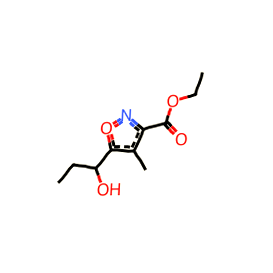 CCOC(=O)c1noc(C(O)CC)c1C